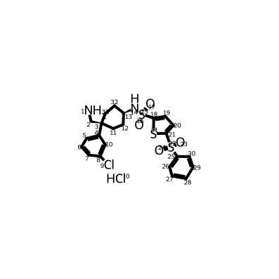 Cl.NC[C@]1(c2cccc(Cl)c2)CC[C@H](NS(=O)(=O)c2ccc(S(=O)(=O)c3ccccc3)s2)CC1